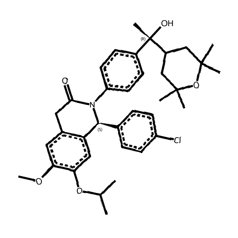 COc1cc2c(cc1OC(C)C)[C@H](c1ccc(Cl)cc1)N(c1ccc([C@](C)(O)C3CC(C)(C)OC(C)(C)C3)cc1)C(=O)C2